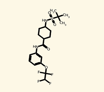 CC(C)(C)S(=O)(=O)NC1CCC(C(=O)Nc2cccc(OC(F)(F)C(F)F)c2)CC1